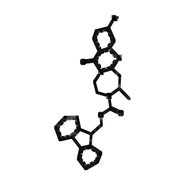 CC1Cc2nc3cc(Br)ccc3c(=O)n2CCN1C(=O)OCC1c2ccccc2-c2ccccc21